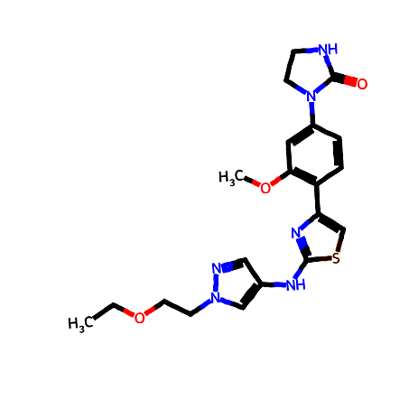 CCOCCn1cc(Nc2nc(-c3ccc(N4CCNC4=O)cc3OC)cs2)cn1